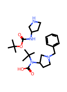 CC(C)(C)N(C(=O)O)C1CCN(Cc2ccccc2)C1.CC(C)(C)OC(=O)NC1CCNC1